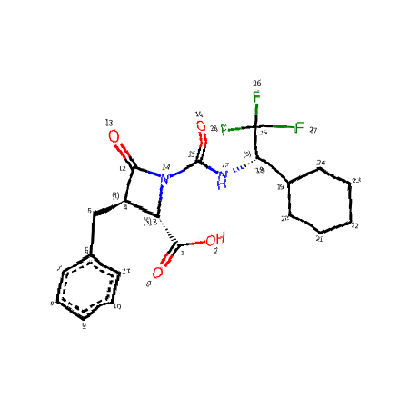 O=C(O)[C@@H]1[C@@H](Cc2ccccc2)C(=O)N1C(=O)N[C@@H](C1CCCCC1)C(F)(F)F